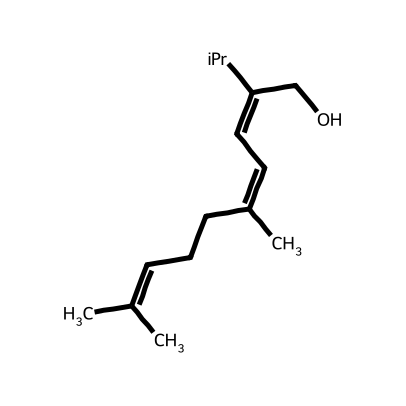 CC(C)=CCCC(C)=CC=C(CO)C(C)C